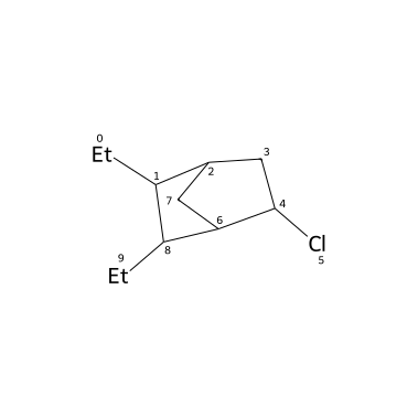 CCC1C2CC(Cl)C(C2)C1CC